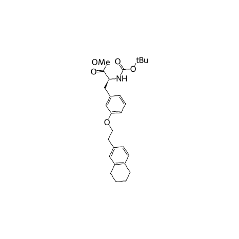 COC(=O)[C@H](Cc1cccc(OCCc2ccc3c(c2)CCCC3)c1)NC(=O)OC(C)(C)C